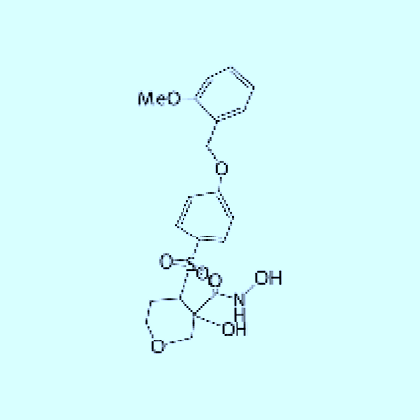 COc1ccccc1COc1ccc(S(=O)(=O)C2CCOCC2(O)C(=O)NO)cc1